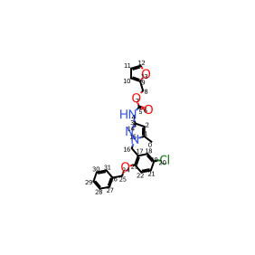 Cc1cc(NC(=O)OCc2ccco2)nn1Cc1cc(Cl)ccc1OCc1ccccc1